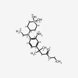 CCOC(=O)CC(C)(C)c1ccc(N(CC)C2CCS(O)(O)CC2)c(N)c1